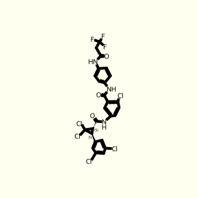 O=C(CC(F)(F)F)Nc1ccc(NC(=O)c2cc(NC(=O)[C@@H]3[C@@H](c4cc(Cl)cc(Cl)c4)C3(Cl)Cl)ccc2Cl)cc1